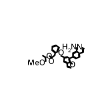 COCC(C)OC(=O)Cc1ccccc1OCc1cc(-c2ccc3ccnc(N)c3c2)c2occc2c1